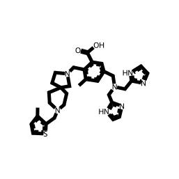 Cc1ccsc1CN1CCC2(CC1)CCN(Cc1c(C)cc(CN(Cc3ncc[nH]3)Cc3ncc[nH]3)cc1C(=O)O)C2